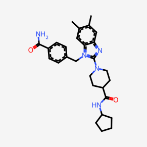 Cc1cc2nc(N3CCC(C(=O)NC4CCCC4)CC3)n(Cc3ccc(C(N)=O)cc3)c2cc1C